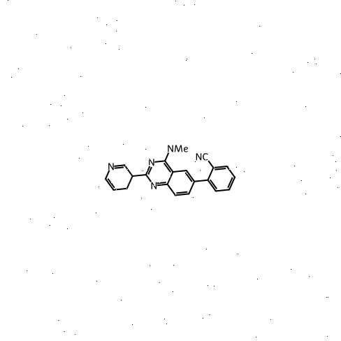 CNc1nc(C2C=NC=CC2)nc2ccc(-c3ccccc3C#N)cc12